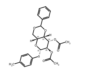 CC(=O)O[C@H]1[C@H]2OC(c3ccccc3)OC[C@H]2O[C@@H](Sc2ccc(C)cc2)[C@@H]1OC(C)=O